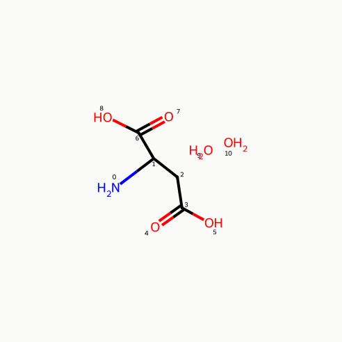 NC(CC(=O)O)C(=O)O.O.O